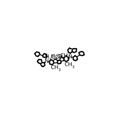 Cc1cc(N(c2cccc(-c3ccccc3)c2)c2cccc3ccccc23)cc2c1-c1ccc3c(c1C2(C)C)C(C)(C)c1cc(N(c2cccc(-c4ccccc4)c2)c2cccc4ccccc24)cc(C)c1-3